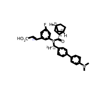 [2H][C@@H](c1ccc(-c2ccc(N(C)C)cc2)cc1)N(C(=O)[C@@H]1C[C@@H]2CC[C@H]1C2)c1cc(F)cc(/C=C/C(=O)O)c1